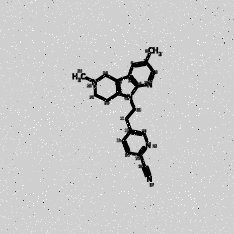 Cc1cnc2c(c1)c1c(n2CCc2ccc(C#N)nc2)CCN(C)C1